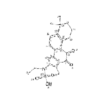 [CH2]CN(c1oc2c(c1C)C(=O)C(=O)c1c-2ccc2c1CCCC2(C)C)S(=O)(=O)O